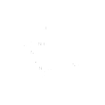 CN(C[C@@H]1CCN(C(=O)[C@@H]2C[C@H](CS)CN2)C1)C(=O)OCc1ccc([N+](=O)[O-])cc1